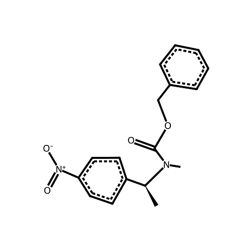 C[C@@H](c1ccc([N+](=O)[O-])cc1)N(C)C(=O)OCc1ccccc1